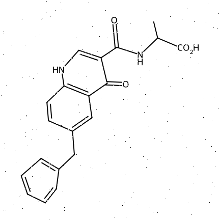 CC(NC(=O)c1c[nH]c2ccc(Cc3ccccc3)cc2c1=O)C(=O)O